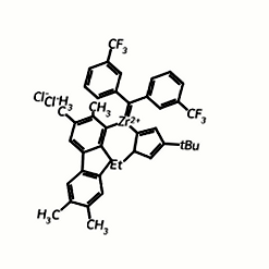 CCC1C=C(C(C)(C)C)C=[C]1[Zr+2](=[C](c1cccc(C(F)(F)F)c1)c1cccc(C(F)(F)F)c1)[c]1c(C)c(C)cc2c1Cc1cc(C)c(C)cc1-2.[Cl-].[Cl-]